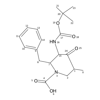 CC1CN(C(=O)O)C(Cc2ccccc2)C(NC(=O)OC(C)(C)C)C1=O